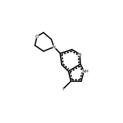 Ic1c[nH]c2ncc(N3CCOCC3)cc12